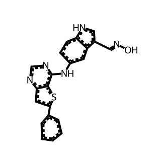 ON=Cc1c[nH]c2ccc(Nc3ncnc4cc(-c5ccccc5)sc34)cc12